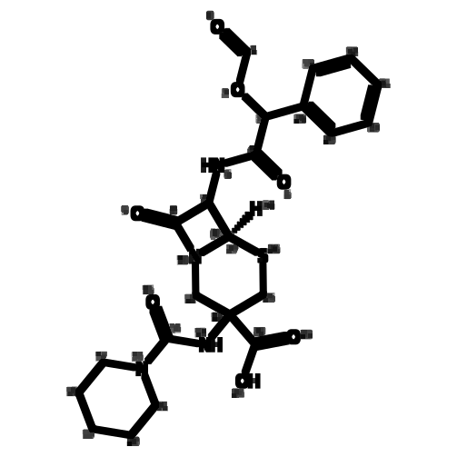 O=COC(C(=O)NC1C(=O)N2CC(NC(=O)N3CCCCC3)(C(=O)O)CS[C@H]12)c1ccccc1